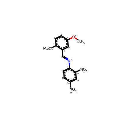 COc1ccc(OC(F)(F)F)cc1C=Nc1ccc([N+](=O)[O-])cc1[N+](=O)[O-]